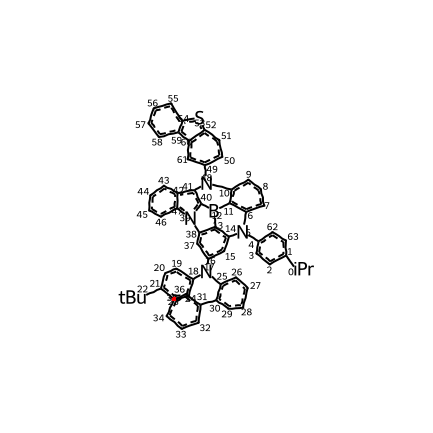 CC(C)c1ccc(N2c3cccc4c3B3c5c2cc(N(c2ccc(C(C)(C)C)cc2)c2ccccc2-c2ccccc2)cc5-n2c3c(c3ccccc32)N4c2ccc3sc4ccccc4c3c2)cc1